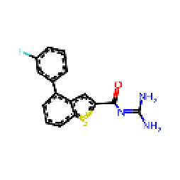 NC(N)=NC(=O)c1cc2c(-c3cccc(F)c3)cccc2s1